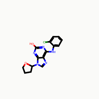 Oc1nc(Nc2ccccc2Cl)c2ncn(C3CCCO3)c2n1